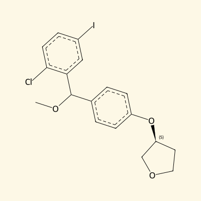 COC(c1ccc(O[C@H]2CCOC2)cc1)c1cc(I)ccc1Cl